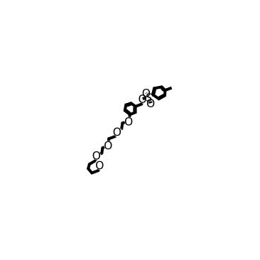 Cc1ccc(S(=O)(=O)OCc2cccc(OCCOCCOCCOC3CCCCO3)c2)cc1